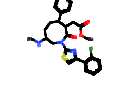 CC(C)NC1CCC(c2ccccc2)C(CC(=O)OC(C)(C)C)C(=O)N(c2nc(-c3ccccc3Cl)cs2)C1